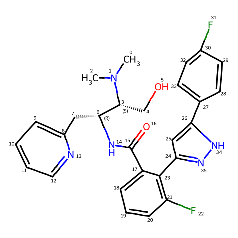 CN(C)[C@H](CO)[C@@H](Cc1ccccn1)NC(=O)c1cccc(F)c1-c1cc(-c2ccc(F)cc2)[nH]n1